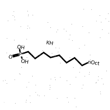 CCCCCCCCCCCCCCCCP(=O)(O)O.[KH]